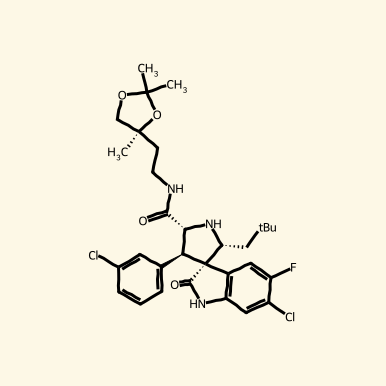 CC(C)(C)C[C@H]1N[C@@H](C(=O)NCC[C@@]2(C)COC(C)(C)O2)[C@H](c2cccc(Cl)c2)[C@@]12C(=O)Nc1cc(Cl)c(F)cc12